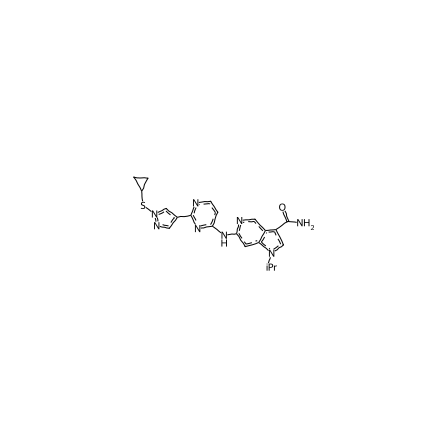 CC(C)n1cc(C(N)=O)c2cnc(Nc3ccnc(-c4cnn(SC5CC5)c4)n3)cc21